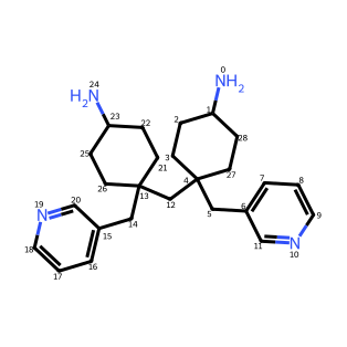 NC1CCC(Cc2cccnc2)(CC2(Cc3cccnc3)CCC(N)CC2)CC1